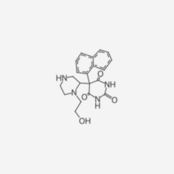 O=C1NC(=O)C(c2cccc3ccccc23)(C2CNCCN2CCO)C(=O)N1